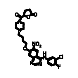 O=C1CCC(C(=O)N2CCN(CCCCOc3cc4ncnc(Nc5ccc(F)c(Cl)c5)c4cc3[N+](=O)[O-])CC2)O1